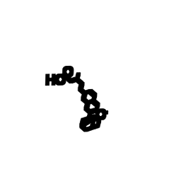 COc1cc2ccc(C=CC(C)=CC(=O)O)cc2cc1C12CC3CC(CC(C3)C1)C2